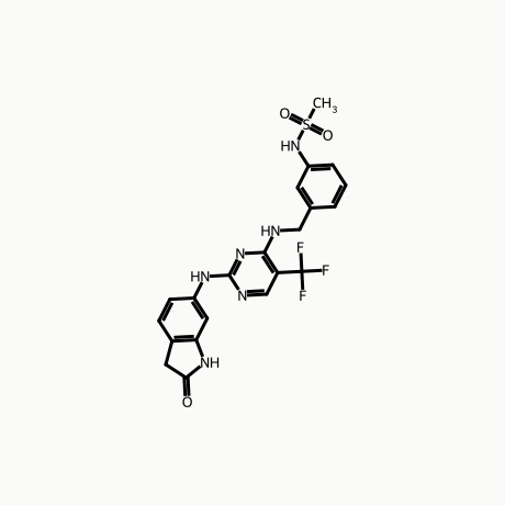 CS(=O)(=O)Nc1cccc(CNc2nc(Nc3ccc4c(c3)NC(=O)C4)ncc2C(F)(F)F)c1